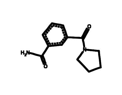 NC(=O)c1cccc(C(=O)N2CCCC2)c1